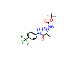 CC(NNC(=O)OC(C)(C)C)C(=O)Nc1ccc(C(F)(F)F)cc1